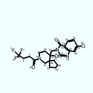 O=C(CCC(F)(F)F)N1CCC(O)(Cn2cnc3cc(Cl)ccc3c2=O)C2(CCCC2)C1